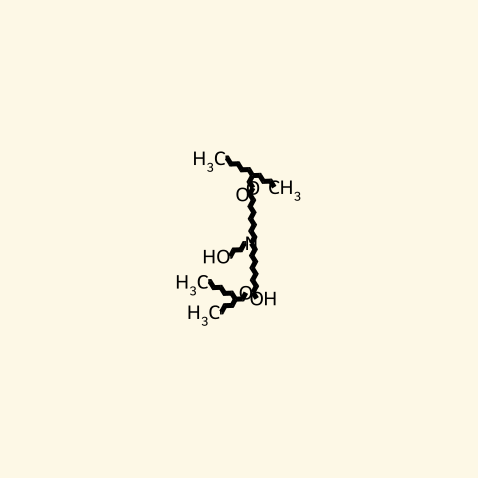 CCCCCCC(CCCC)COC(=O)CCCCCCCN(CCCCO)CCCCCCCC(O)OCC(CCCC)CCCCCC